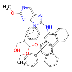 CCOC(OC(c1ccccc1)(c1ccccc1)c1ccccc1)C(CO)CCn1c(NC(c2ccccc2)(c2ccccc2)c2ccccc2)nc2cnc(OC)nc21